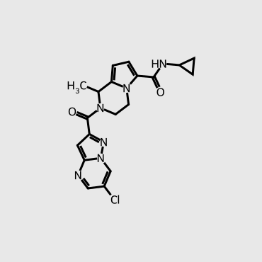 CC1c2ccc(C(=O)NC3CC3)n2CCN1C(=O)c1cc2ncc(Cl)cn2n1